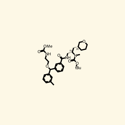 COC(=O)NCCOC(c1cccc(C)c1)c1cccc(C(=O)NC[C@H](C[C@H]2CCCOC2)N(C)C(=O)OC(C)(C)C)c1